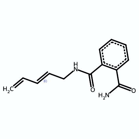 C=C/C=C/CNC(=O)c1ccccc1C(N)=O